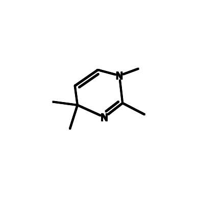 CC1=NC(C)(C)C=CN1C